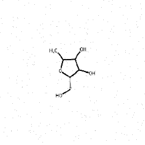 CC1O[C@@H](CO)C(O)C1O